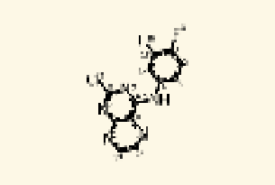 Fc1ccc(Nc2nc(Cl)nc3nccnc23)cc1F